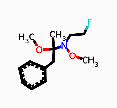 CON(CCF)C(C)(Cc1ccccc1)OC